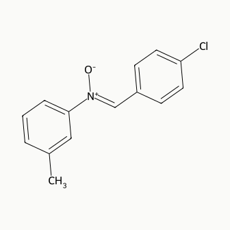 Cc1cccc([N+]([O-])=Cc2ccc(Cl)cc2)c1